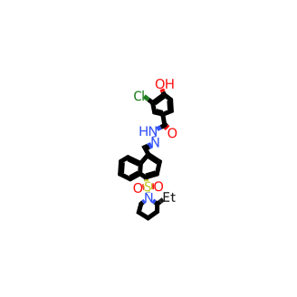 CCC1CCCCN1S(=O)(=O)c1ccc(/C=N/NC(=O)c2ccc(O)c(Cl)c2)c2ccccc12